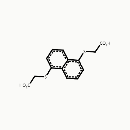 O=C(O)CSc1cccc2c(SCC(=O)O)cccc12